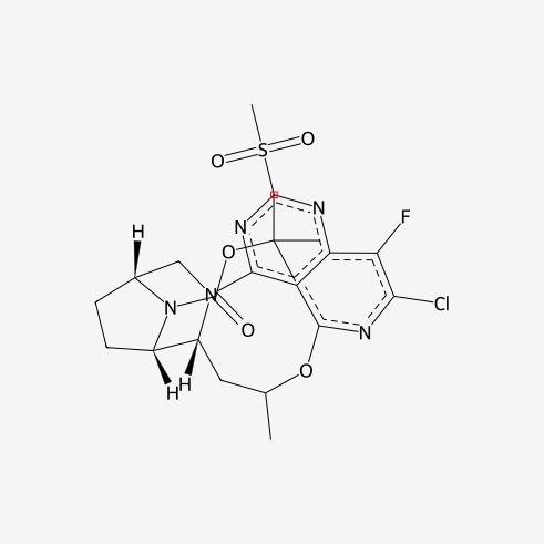 CC1C[C@@H]2[C@@H]3CC[C@H](CN2c2nc(S(C)(=O)=O)nc4c(F)c(Cl)nc(c24)O1)N3C(=O)OC(C)(C)C